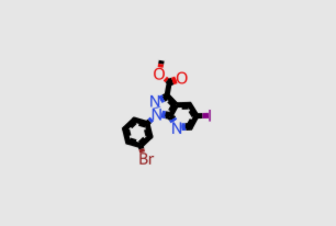 COC(=O)c1nn(-c2cccc(Br)c2)c2ncc(I)cc12